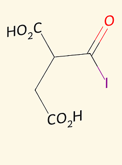 O=C(O)CC(C(=O)O)C(=O)I